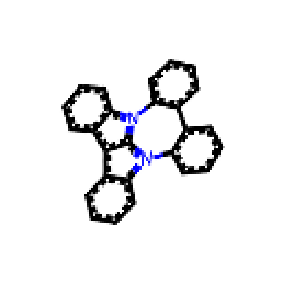 c1ccc2c(c1)-c1ccccc1-n1c3ccccc3c3c4ccccc4n-2c31